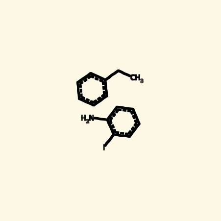 CCc1ccccc1.Nc1ccccc1I